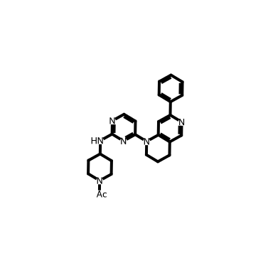 CC(=O)N1CCC(Nc2nccc(N3CCCc4cnc(-c5ccccc5)cc43)n2)CC1